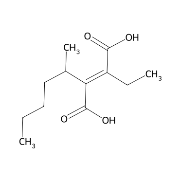 CCCCC(C)C(C(=O)O)=C(CC)C(=O)O